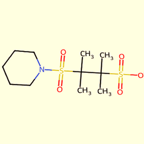 CC(C)(C(C)(C)S(=O)(=O)N1CCCCC1)S(=O)(=O)O